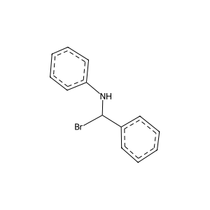 BrC(Nc1ccccc1)c1ccccc1